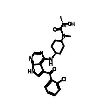 C[C@H](O)C(=O)N(C)[C@H]1CC[C@@H](Nc2ncnc3[nH]cc(C(=O)c4ccccc4Cl)c23)CC1